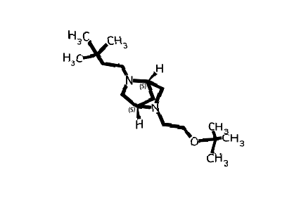 CC(C)(C)CCN1C[C@@H]2C[C@H]1CN2CCOC(C)(C)C